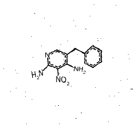 Nc1ncc(Cc2ccccc2)c(N)c1[N+](=O)[O-]